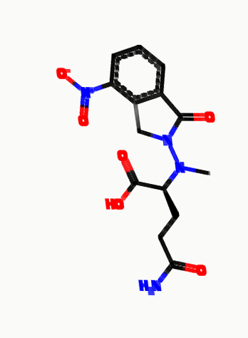 CN([C@@H](CCC(N)=O)C(=O)O)N1Cc2c(cccc2[N+](=O)[O-])C1=O